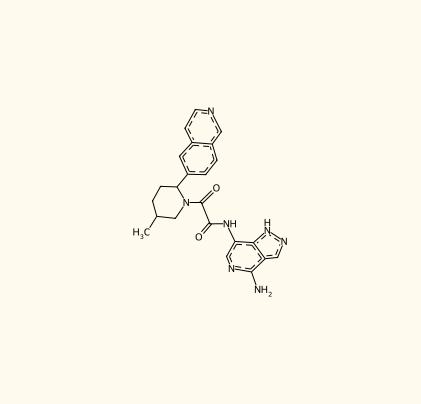 CC1CCC(c2ccc3cnccc3c2)N(C(=O)C(=O)Nc2cnc(N)c3cn[nH]c23)C1